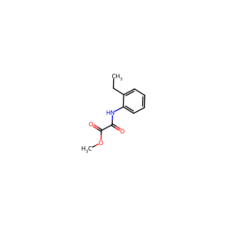 CCc1ccccc1NC(=O)C(=O)OC